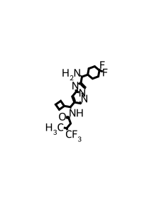 CC(CC(=O)N[C@@H](c1cnn2cc([C@@H](N)C3CCC(F)(F)CC3)nc2c1)C1CCC1)C(F)(F)F